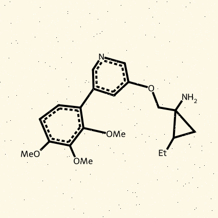 CCC1CC1(N)COc1cncc(-c2ccc(OC)c(OC)c2OC)c1